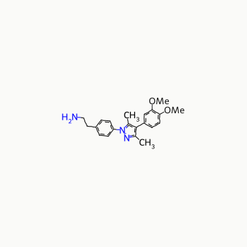 COc1ccc(-c2c(C)nn(-c3ccc(CCN)cc3)c2C)cc1OC